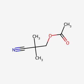 CC(=O)OCC(C)(C)C#N